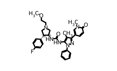 COCCN1C[C@@H](NC(=O)Nc2c(C)c(-c3ccc(=O)n(C)c3)nn2-c2ccccc2)[C@H](c2ccc(F)cc2)C1